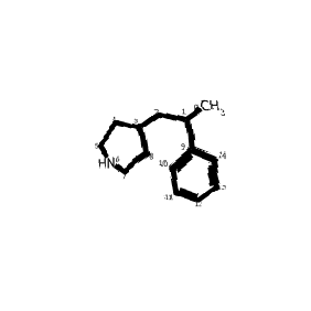 CC(CC1CCNCC1)c1ccccc1